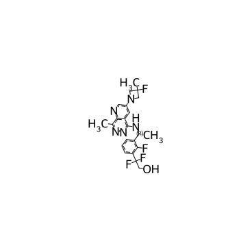 Cc1nnc(N[C@H](C)c2cccc(C(F)(F)CO)c2F)c2cc(N3CC(C)(F)C3)cnc12